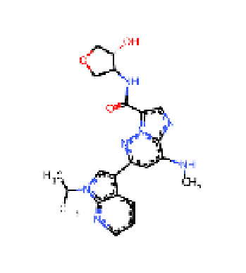 CNc1cc(-c2cn(C(C)C)c3ncccc23)nn2c(C(=O)NC3COC[C@@H]3O)cnc12